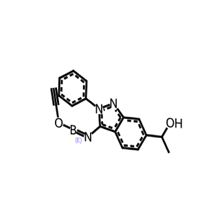 C#CO/B=N/c1c2ccc(C(C)O)cc2nn1-c1ccccc1